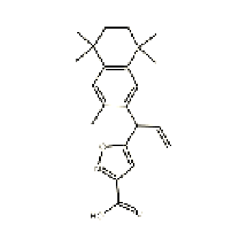 C=CC(c1cc(C(=O)O)no1)c1cc2c(cc1C)C(C)(C)CCC2(C)C